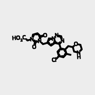 Cc1cc(Cl)cc(-c2ncnn3cc(Cn4c(=O)ccn(CC(=O)O)c4=O)cc23)c1CC1CNCCO1